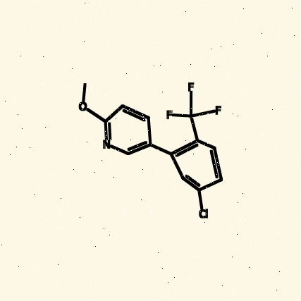 COc1ccc(-c2cc(Cl)ccc2C(F)(F)F)cn1